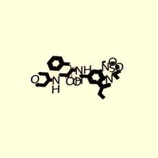 CCc1cn2c3c(cc(C(=O)N[C@@H](Cc4ccccc4)[C@H](O)CNC4CCOCC4)cc13)N(C)S(=O)(=O)C2(C)C